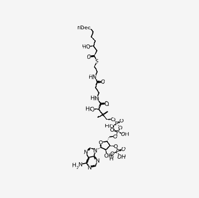 CCCCCCCCCCCCC[C@H](O)CC(=O)SCCNC(=O)CCNC(=O)[C@H](O)C(C)(C)COP(=O)(O)OP(=O)(O)OC[C@H]1O[C@@H](n2cnc3c(N)ncnc32)[C@H](O)[C@@H]1OP(=O)(O)O